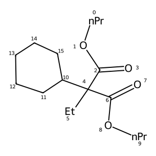 CCCOC(=O)C(CC)(C(=O)OCCC)C1CCCCC1